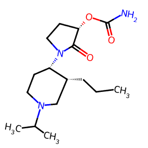 CCC[C@@H]1CN(C(C)C)CC[C@@H]1N1CC[C@H](OC(N)=O)C1=O